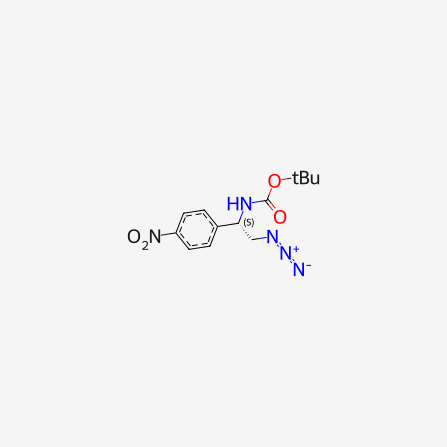 CC(C)(C)OC(=O)N[C@H](CN=[N+]=[N-])c1ccc([N+](=O)[O-])cc1